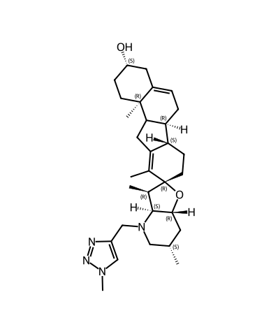 CC1=C2CC3[C@@H](CC=C4C[C@@H](O)CC[C@@]43C)[C@@H]2CC[C@]12O[C@@H]1C[C@H](C)CN(Cc3cn(C)nn3)[C@H]1[C@H]2C